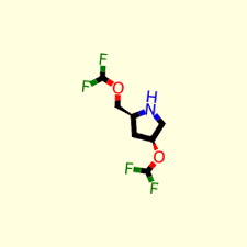 FC(F)OC[C@@H]1C[C@H](OC(F)F)CN1